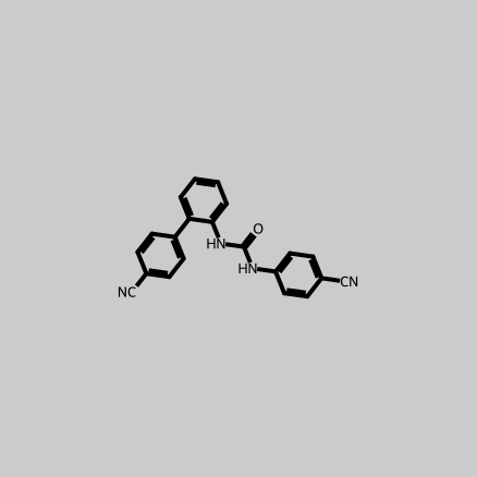 N#Cc1ccc(NC(=O)Nc2ccccc2-c2ccc(C#N)cc2)cc1